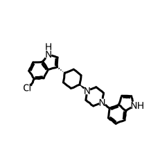 Clc1ccc2[nH]cc([C@H]3CC[C@H](N4CCN(c5cccc6[nH]ccc56)CC4)CC3)c2c1